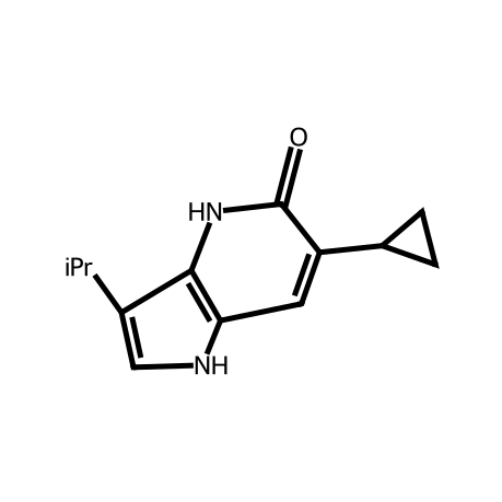 CC(C)c1c[nH]c2cc(C3CC3)c(=O)[nH]c12